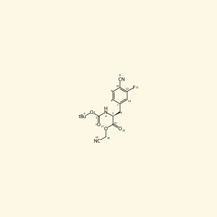 CC(C)(C)OC(=O)N[C@@H](Cc1ccc(C#N)c(F)c1)C(=O)OCC#N